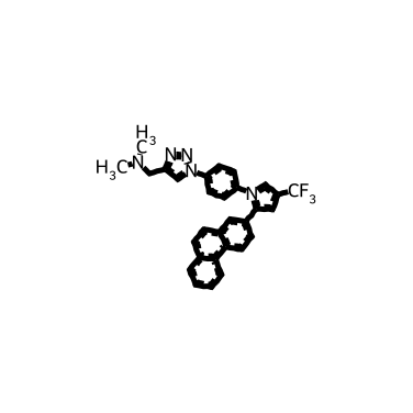 CN(C)Cc1cn(-c2ccc(-n3cc(C(F)(F)F)cc3-c3ccc4c(ccc5ccccc54)c3)cc2)nn1